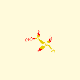 O=S(O)S(=O)(=O)S